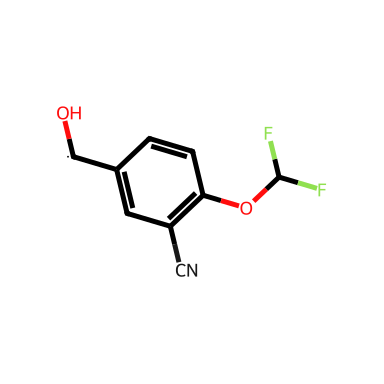 N#Cc1cc([CH]O)ccc1OC(F)F